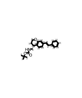 CC(C)(C)OC(=O)NC[C@@H]1CCOc2cc(C=Cc3ccccc3)ccc21